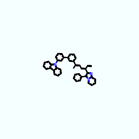 C=C/C(=C\C=C(/C)c1cccc(-c2cccc(-n3c4ccccc4c4ccccc43)c2)c1)c1nc2ccccn2c1-c1ccccc1